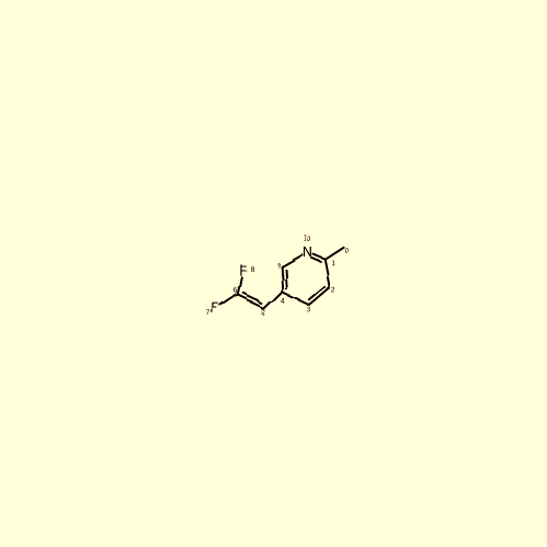 Cc1ccc(C=C(F)F)cn1